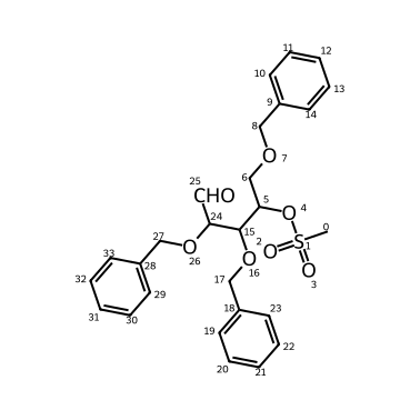 CS(=O)(=O)OC(COCc1ccccc1)C(OCc1ccccc1)C(C=O)OCc1ccccc1